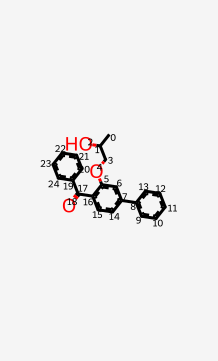 CC(O)COc1cc(-c2ccccc2)ccc1C(=O)c1ccccc1